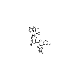 Cc1nc2sccn2c1C(=O)NC[C@@H]1[C@H]2C[C@H]2CN1C(=O)c1nc(N)sc1-c1cccc(F)c1